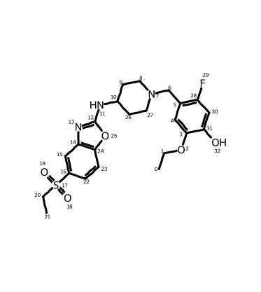 CCOc1cc(CN2CCC(Nc3nc4cc(S(=O)(=O)CC)ccc4o3)CC2)c(F)cc1O